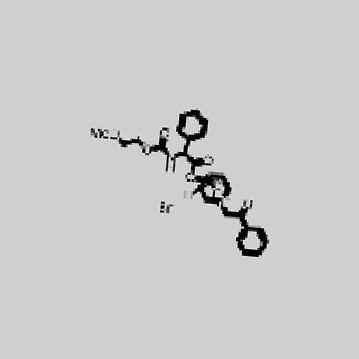 COCCOC(=O)NC(C(=O)O[C@H]1C[N+]2(CC(=O)c3ccccc3)CCC1CC2)c1ccccc1.[Br-]